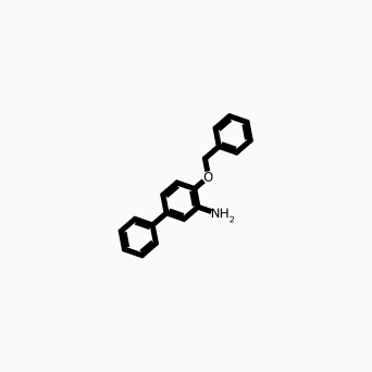 Nc1cc(-c2ccccc2)ccc1OCc1ccccc1